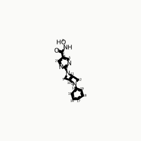 O=C(NO)c1cnc(N2CC3=C2CN3c2ccccc2)nc1